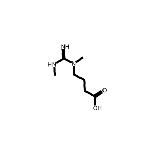 CNC(=N)N(C)CCCC(=O)O